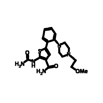 COCCN1CCN(c2ccccc2-c2cc(C(N)=O)c(NC(N)=O)s2)CC1